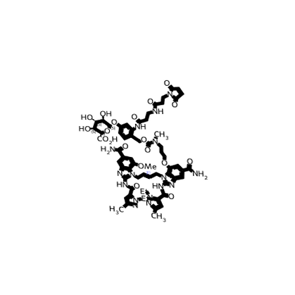 CCn1nc(C)cc1C(=O)Nc1nc2cc(C(N)=O)cc(OC)c2n1C/C=C/Cn1c(NC(=O)c2cc(C)nn2CC)nc2cc(C(N)=O)cc(OCCCN(C)C(=O)OCc3ccc(O[C@@H]4O[C@H](C(=O)O)[C@@H](O)[C@H](O)[C@H]4O)cc3NC(=O)CCNC(=O)CCN3C(=O)C=CC3=O)c21